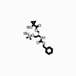 CC(C)(C)C1(C(=O)OC[C@@H](CO[Si](C)(C)C(C)(C)C)NC(=O)OCc2ccccc2)CC1